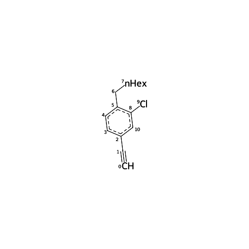 C#Cc1ccc(CCCCCCC)c(Cl)c1